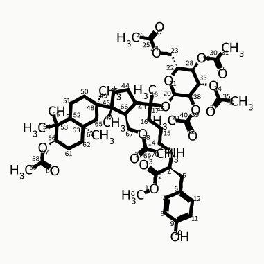 COC(=O)[C@H](Cc1ccc(O)cc1)NCCCC(C)(O[C@H]1O[C@H](COC(C)=O)[C@@H](OC(C)=O)[C@H](OC(C)=O)C1OC(C)=O)C1CC[C@@](C)([C@]2(C)CCC3C(C)(C)[C@@H](OC(C)=O)CC[C@]3(C)C2)[C@@H]1COC(C)=O